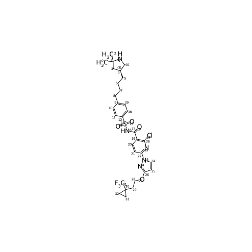 CC1(C)C[C@H](CCCCc2ccc(S(=O)(=O)NC(=O)c3ccc(-n4ccc(OCCC5(C(F)(F)F)CC5)n4)nc3Cl)cc2)CN1